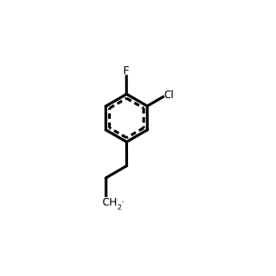 [CH2]CCc1ccc(F)c(Cl)c1